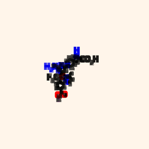 Cc1ccn(-c2cc(C(=O)OI)ccc2[C@@H](Oc2cc(N3CCC4(CC3)CN[C@H](C(=O)O)C4)nc(N)n2)C(F)(F)F)n1